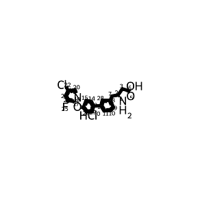 Cl.N[C@H](CC(=O)O)Cc1cccc(-c2ccc(Oc3ncc(Cl)cc3F)cc2)c1